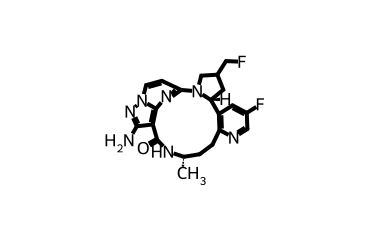 C[C@H]1CCc2ncc(F)cc2[C@H]2CC(CF)CN2c2ccn3nc(N)c(c3n2)C(=O)N1